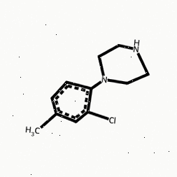 Cc1ccc(N2CCNCC2)c(Cl)c1